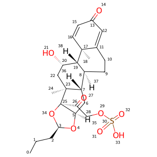 CCC[C@@H]1O[C@@H]2C[C@H]3[C@@H]4CCC5=CC(=O)C=C[C@]5(C)[C@H]4[C@@H](O)C[C@]3(C)[C@]2(C(=O)COS(=O)(=O)O)O1